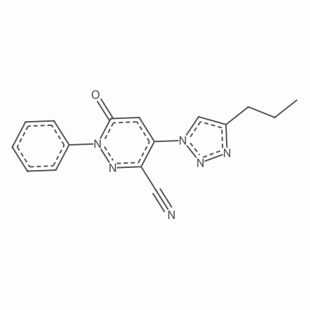 CCCc1cn(-c2cc(=O)n(-c3ccccc3)nc2C#N)nn1